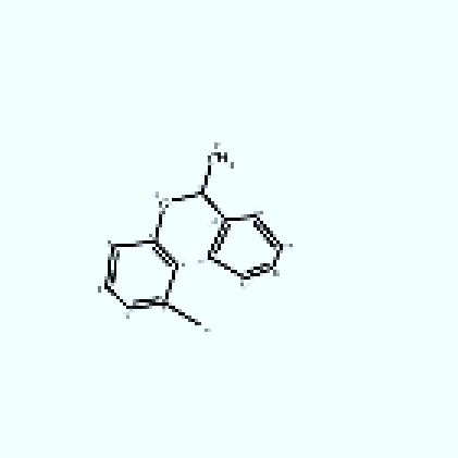 CC(Oc1[c]ccc(F)c1)c1ccccc1